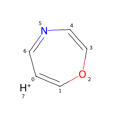 C1=COC=CN=C1.[H+]